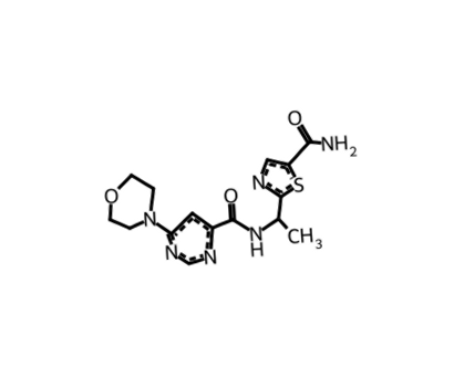 CC(NC(=O)c1cc(N2CCOCC2)ncn1)c1ncc(C(N)=O)s1